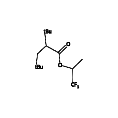 CC(OC(=O)C(CC(C)(C)C)C(C)(C)C)C(F)(F)F